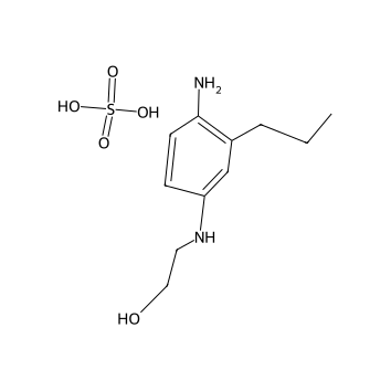 CCCc1cc(NCCO)ccc1N.O=S(=O)(O)O